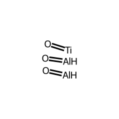 [O]=[AlH].[O]=[AlH].[O]=[Ti]